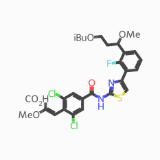 COC(=Cc1c(Cl)cc(C(=O)Nc2nc(-c3cccc(C(CCOCC(C)C)OC)c3F)cs2)cc1Cl)C(=O)O